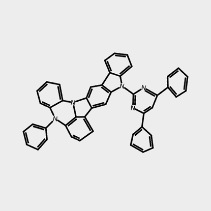 c1ccc(-c2cc(-c3ccccc3)nc(-n3c4ccccc4c4cc5c(cc43)c3cccc4c3n5-c3ccccc3N4c3ccccc3)n2)cc1